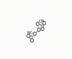 N#Cc1cc(-c2cccc(-c3cccc(C#N)c3-n3c4ccccc4c4ccccc43)c2)ccc1-n1c2ccccc2c2ccccc21